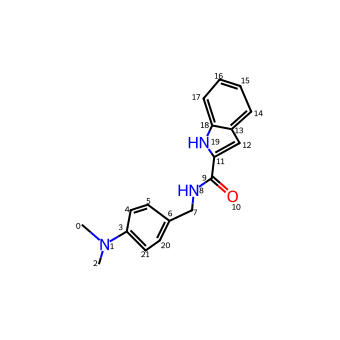 CN(C)c1ccc(CNC(=O)c2cc3ccccc3[nH]2)cc1